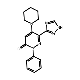 O=c1cc(N2CCCCC2)c(-c2nc[nH]n2)nn1-c1ccccc1